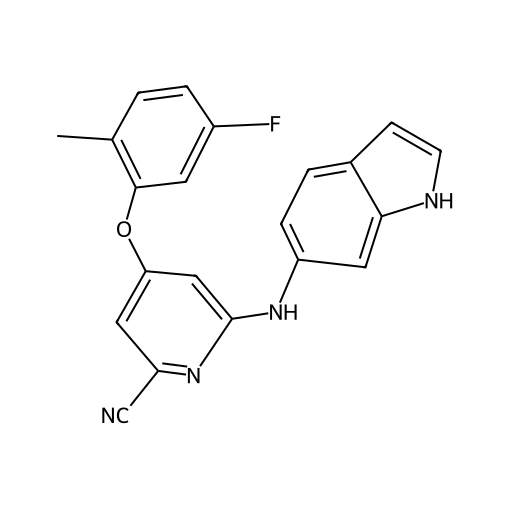 Cc1ccc(F)cc1Oc1cc(C#N)nc(Nc2ccc3cc[nH]c3c2)c1